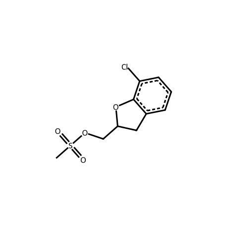 CS(=O)(=O)OCC1Cc2cccc(Cl)c2O1